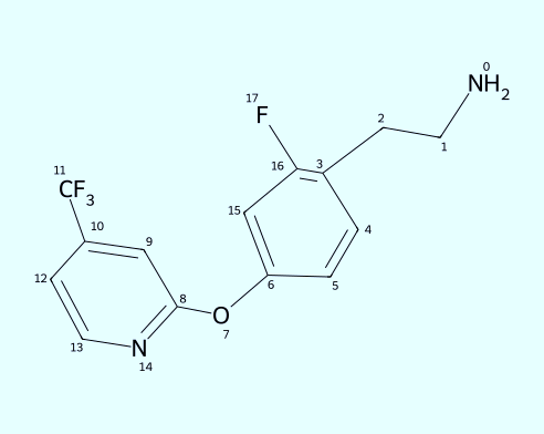 NCCc1ccc(Oc2cc(C(F)(F)F)ccn2)cc1F